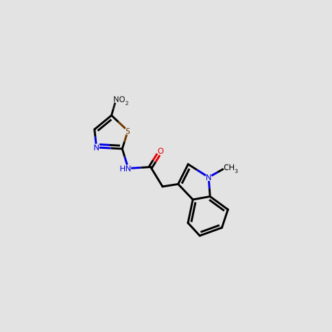 Cn1cc(CC(=O)Nc2ncc([N+](=O)[O-])s2)c2ccccc21